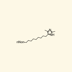 CCCCCCCCCCCCCCCCCCc1[nH]c(C)nc1C